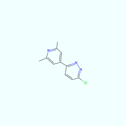 Cc1cc(-c2ccc(Cl)nn2)cc(C)n1